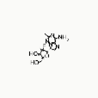 Cc1nc(N)c2ncc([C@@H]3O[C@H](CO)[C@@H](O)[C@@]3(C)F)n2n1